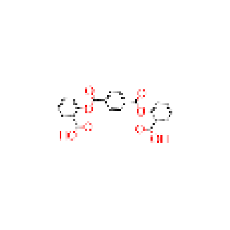 O=C(Oc1ccccc1C(=O)O)c1ccc(C(=O)Oc2ccccc2C(=O)O)cc1